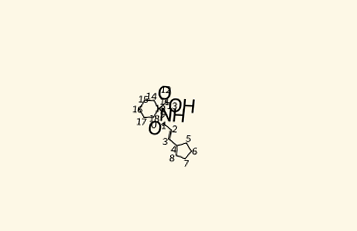 O=C(C=CC1CCCC1)NC1(C(=O)O)CCCCC1